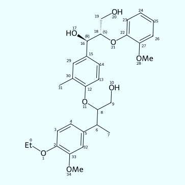 CCOc1ccc(C(C)C(CO)Oc2ccc([C@@H](O)[C@H](CO)Oc3ccccc3OC)cc2C)cc1OC